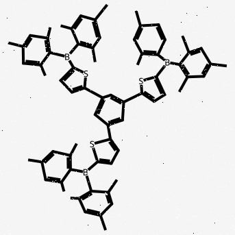 Cc1ccc(B(c2ccc(-c3cc(-c4ccc(B(c5c(C)cc(C)cc5C)c5c(C)cc(C)cc5C)s4)cc(-c4ccc(B(c5c(C)cc(C)cc5C)c5c(C)cc(C)cc5C)s4)c3)s2)c2c(C)cc(C)cc2C)c(C)c1